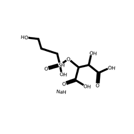 O=C(O)C(O)C(O[SH](=O)(O)CCCO)C(=O)O.[NaH]